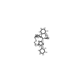 CCCCN.N#CC(=C(O)c1ccccc1Cl)c1nc(-c2ccccc2)cs1